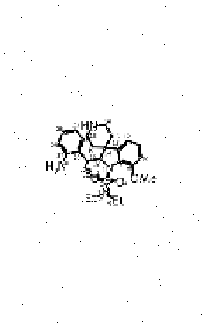 CCN(CC)S(=O)(=O)N1c2c(OC)cccc2C2(CCNCC2)C1C(c1ccccc1N)C(C)(C)C